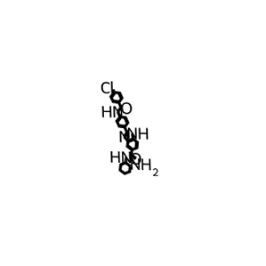 NC1CCCCC1NC(=O)c1ccc2[nH]c(-c3ccc(NC(=O)c4ccc(Cl)cc4)cc3)nc2c1